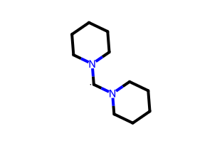 [CH](N1CCCCC1)N1CCCCC1